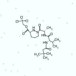 CC(C)[C@H](NC(=O)CC(C)(C)C)C(=O)N[C@@H](C)C(=O)N1CCC[C@@H](C(=O)OCC(Cl)(Cl)Cl)N1